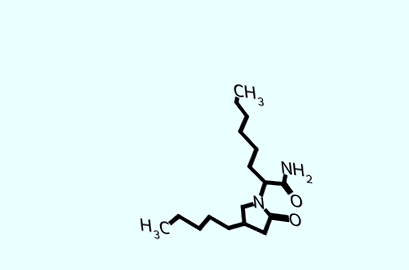 CCCCCCC(C(N)=O)N1CC(CCCCC)CC1=O